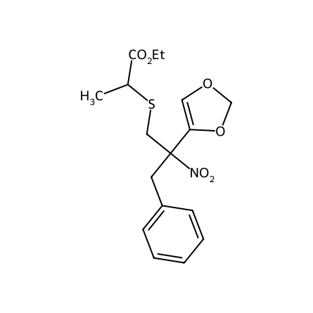 CCOC(=O)C(C)SCC(Cc1ccccc1)(C1=COCO1)[N+](=O)[O-]